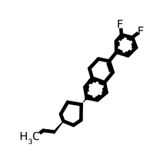 CCC[C@H]1CC[C@H](c2ccc3c(c2)CCC(c2ccc(F)c(F)c2)=C3)CC1